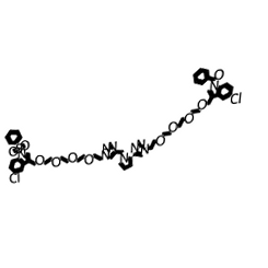 O=C(c1ccccc1)n1cc(COCCOCCOCCOCCn2cc([C@@H]3CCCN3Cc3cn(CCOCCOCCOCCOCc4cn(S(=O)(=O)c5ccccc5)c5ccc(Cl)cc45)nn3)nn2)c2cc(Cl)ccc21